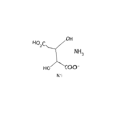 N.O=C([O-])C(O)C(O)C(=O)O.[N+]